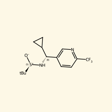 CC(C)(C)[S@@+]([O-])N[C@@H](c1ccc(C(F)(F)F)nc1)C1CC1